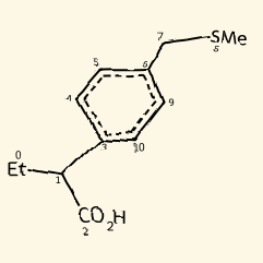 CCC(C(=O)O)c1ccc(CSC)cc1